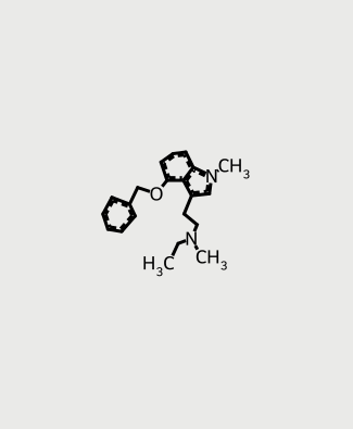 CCN(C)CCc1cn(C)c2cccc(OCc3ccccc3)c12